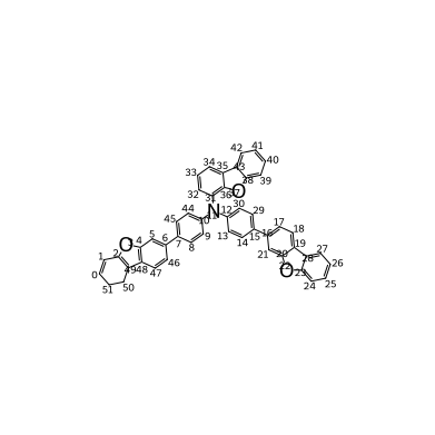 C1=Cc2oc3cc(-c4ccc(N(c5ccc(-c6ccc7c(c6)oc6ccccc67)cc5)c5cccc6c5oc5ccccc56)cc4)ccc3c2CC1